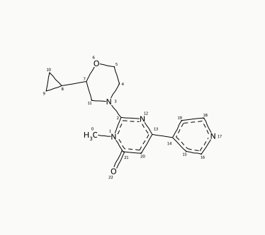 Cn1c(N2CCOC(C3CC3)C2)nc(-c2ccncc2)cc1=O